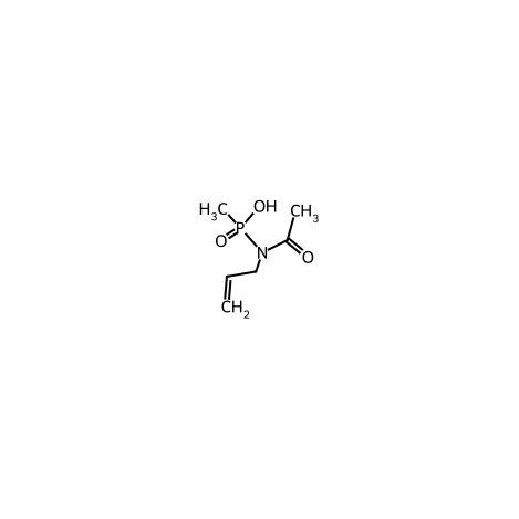 C=CCN(C(C)=O)P(C)(=O)O